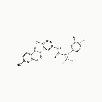 N#Cc1ccc(NC(=O)c2cc(NC(=O)C3C(c4ccc(Cl)c(Cl)c4)C3(Cl)Cl)ccc2Cl)c(F)c1